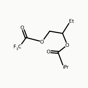 CCC(COC(=O)C(F)(F)F)OC(=O)C(C)C